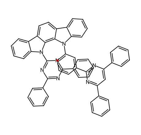 c1ccc(-c2cc(-c3ccccc3)nc(-c3cccc(-n4c5ccccc5c5ccc6c7ccccc7n(-c7nc(-c8ccccc8)nc(-c8ccccc8)n7)c6c54)c3)n2)cc1